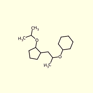 CC(C)OC1CCCC1CC(C)OC1CCCCC1